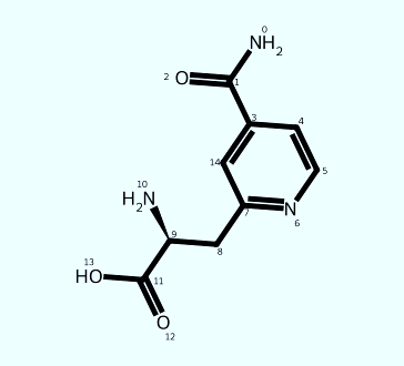 NC(=O)c1ccnc(C[C@H](N)C(=O)O)c1